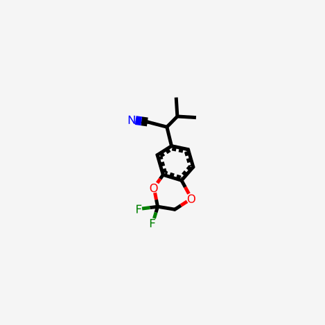 CC(C)C(C#N)c1ccc2c(c1)OC(F)(F)CO2